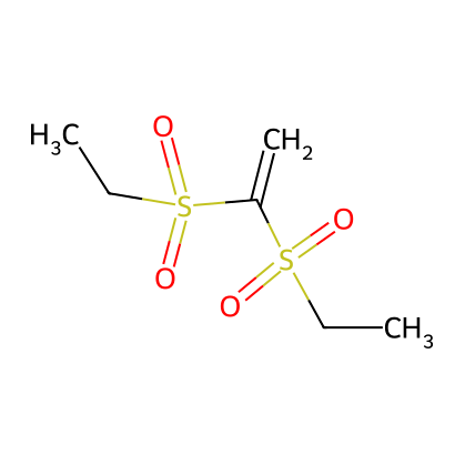 C=C(S(=O)(=O)CC)S(=O)(=O)CC